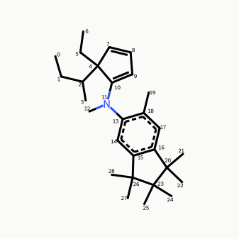 CCC(C)C1(CC)C=CC=C1N(C)c1cc2c(cc1C)C(C)(C)C(C)(C)C2(C)C